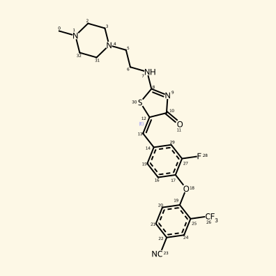 CN1CCN(CCNC2=NC(=O)/C(=C\c3ccc(Oc4ccc(C#N)cc4C(F)(F)F)c(F)c3)S2)CC1